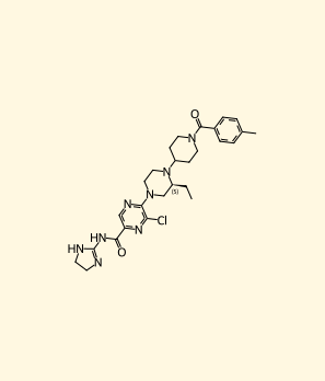 CC[C@H]1CN(c2ncc(C(=O)NC3=NCCN3)nc2Cl)CCN1C1CCN(C(=O)c2ccc(C)cc2)CC1